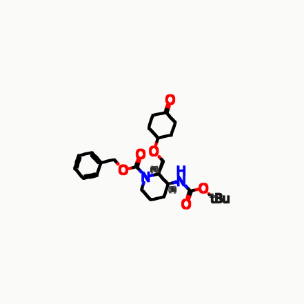 CC(C)(C)OC(=O)N[C@H]1CCCN(C(=O)OCc2ccccc2)[C@H]1COC1CCC(=O)CC1